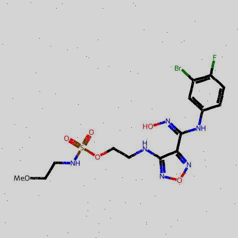 COCCNS(=O)(=O)OCCNc1nonc1C(=NO)Nc1ccc(F)c(Br)c1